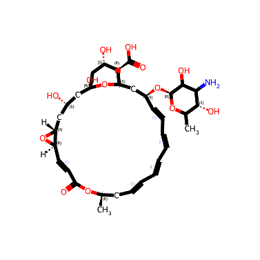 CC1O[C@@H](O[C@H]2/C=C/C=C/C=C/C=C/C[C@@H](C)OC(=O)/C=C/[C@H]3O[C@@H]3C[C@H](O)C[C@]3(O)C[C@H](O)[C@@H](C(=O)O)[C@H](C2)O3)C(O)C(N)[C@@H]1O